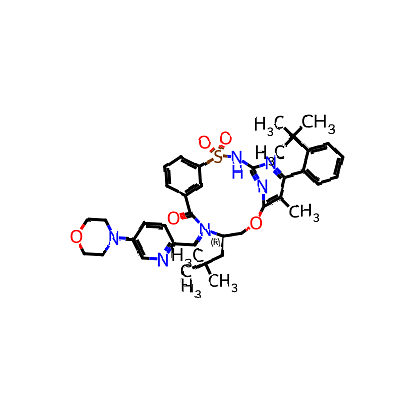 Cc1c2nc(nc1-c1ccccc1C(C)(C)C)NS(=O)(=O)c1cccc(c1)C(=O)N(Cc1ccc(N3CCOCC3)cn1)[C@H](CC(C)(C)C)CO2